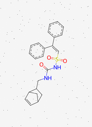 O=C(NCC1CC2C=CC1C2)NS(=O)(=O)C=C(c1ccccc1)c1ccccc1